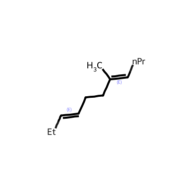 CC/C=C/CC/C(C)=C/CCC